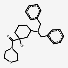 N#CC1(C(=O)N2CCOCC2)CCCC(N(Cc2ccccc2)Cc2ccccc2)C1